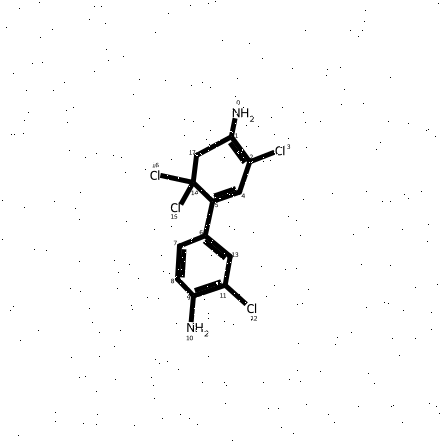 NC1=C(Cl)C=C(c2ccc(N)c(Cl)c2)C(Cl)(Cl)C1